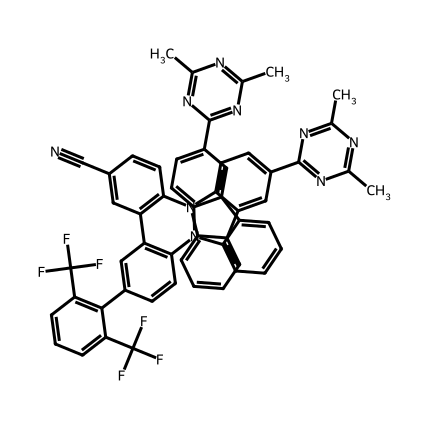 Cc1nc(C)nc(-c2ccc3c(c2)c2ccccc2n3-c2ccc(C#N)cc2-c2cc(-c3c(C(F)(F)F)cccc3C(F)(F)F)ccc2-n2c3ccccc3c3cc(-c4nc(C)nc(C)n4)ccc32)n1